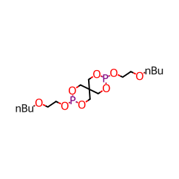 CCCCOCCOP1OCC2(CO1)COP(OCCOCCCC)OC2